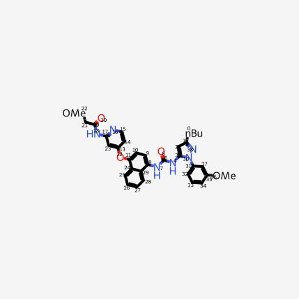 CCCCc1cc(NC(=O)Nc2ccc(Oc3ccnc(NC(=O)COC)c3)c3ccccc23)n(-c2cccc(OC)c2)n1